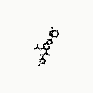 CC(C)Oc1cc2nc([C@]34CCO[C@H](CC3)C4)cn2cc1C(=O)Nc1ccn(C)n1